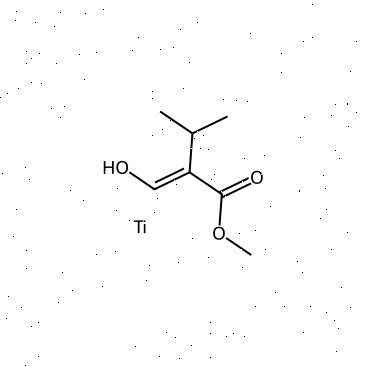 COC(=O)C(=CO)C(C)C.[Ti]